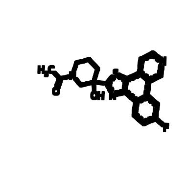 CC(=O)N1CCCC(O)(c2nc3c4ccc(F)cc4c4cnccc4c3s2)C1